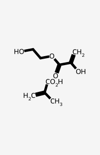 C=C(C)C(=O)O.C=C(O)C(=O)OCCO